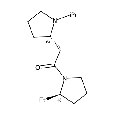 CC[C@@H]1CCCN1C(=O)C[C@@H]1CCCN1C(C)C